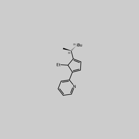 CCC1C(c2ccccn2)=CC=C1[C@@H](C)[C@@H](C)CC